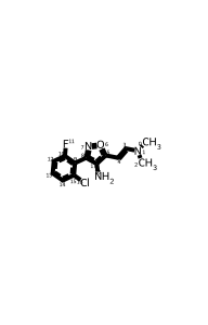 CN(C)/C=C/c1onc(-c2c(F)cccc2Cl)c1N